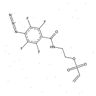 C=CS(=O)(=O)OCCNC(=O)c1c(F)c(F)c(N=[N+]=[N-])c(F)c1F